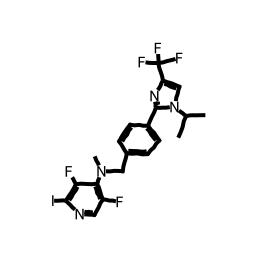 CC(C)n1cc(C(F)(F)F)nc1-c1ccc(CN(C)c2c(F)cnc(I)c2F)cc1